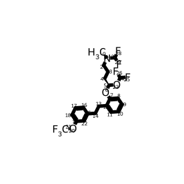 CN(CCC[C@H](Oc1ccccc1CCc1cccc(OC(F)(F)F)c1)OC(F)F)C(F)F